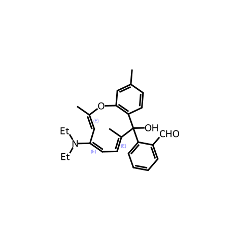 CCN(CC)C1=C/C=C(\C)C(O)(c2ccccc2C=O)c2ccc(C)cc2O\C(C)=C\1